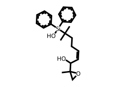 CC1(C(O)/C=C\CCC(C)(C)[Si](O)(c2ccccc2)c2ccccc2)CO1